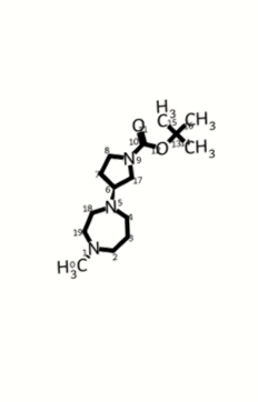 CN1CCCN([C@H]2CCN(C(=O)OC(C)(C)C)C2)CC1